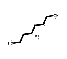 Cl.OCCCCCCO